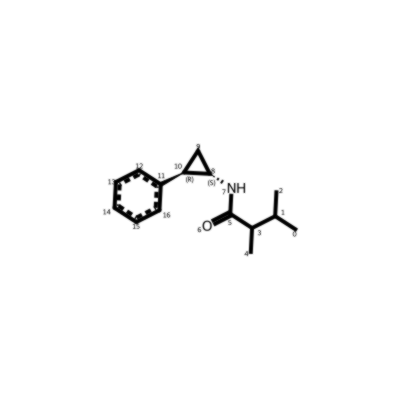 CC(C)C(C)C(=O)N[C@H]1C[C@@H]1c1ccccc1